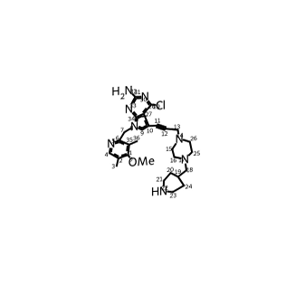 COc1c(C)cnc(Cn2cc(C#CCN3CCN(CC4CCNCC4)CC3)c3c(Cl)nc(N)nc32)c1C